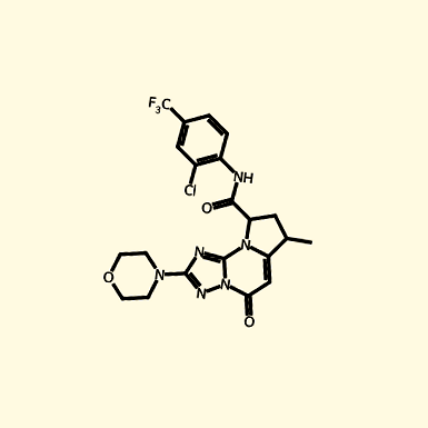 CC1CC(C(=O)Nc2ccc(C(F)(F)F)cc2Cl)n2c1cc(=O)n1nc(N3CCOCC3)nc21